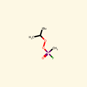 CC(OOP(C)(=O)F)C(C)(C)C